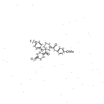 COc1ccc(CC(=O)N2CCCC(Oc3ccc(C(F)(F)F)cc3)(C(=O)N3CCN(C)CC3)C2)cc1